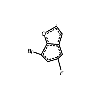 Fc1cc(Br)c2o[c]cc2c1